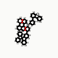 c1ccc(C2(c3ccccc3)c3ccccc3-c3ccc(-c4ccc(N(c5cccc(-c6cccc7oc8ccccc8c67)c5)c5ccccc5-c5cccc6cccc(C7CCCCC7)c56)cc4)cc32)cc1